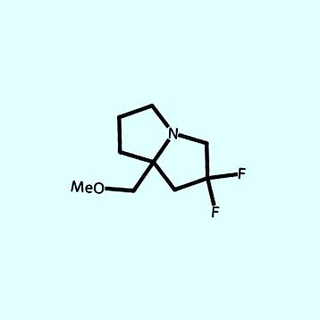 COCC12CCCN1CC(F)(F)C2